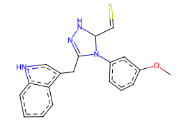 COc1cccc(N2C(Cc3c[nH]c4ccccc34)=NNC2C=S)c1